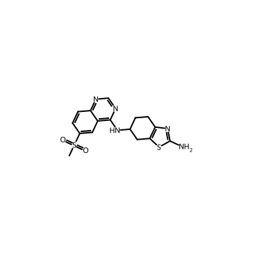 CS(=O)(=O)c1ccc2ncnc(NC3CCc4nc(N)sc4C3)c2c1